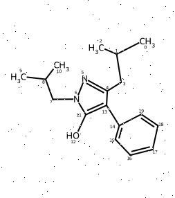 CC(C)Cc1nn(CC(C)C)c(O)c1-c1ccccc1